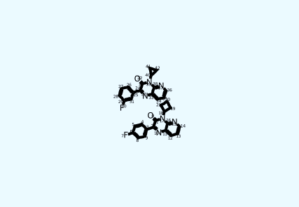 O=c1c(-c2ccc(F)cc2)nc2cccnc2n1C1CCC1.O=c1c(-c2cccc(F)c2)nc2cccnc2n1C1CC1